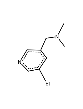 CCc1cncc(CN(C)C)c1